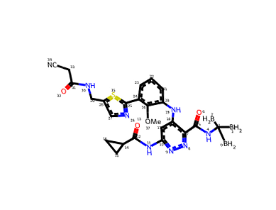 BC(B)(B)NC(=O)c1nnc(NC(=O)C2CC2)cc1Nc1cccc(-c2ncc(CNC(=O)CC#N)s2)c1OC